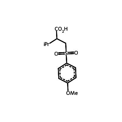 COc1ccc(S(=O)(=O)CC(C(=O)O)C(C)C)cc1